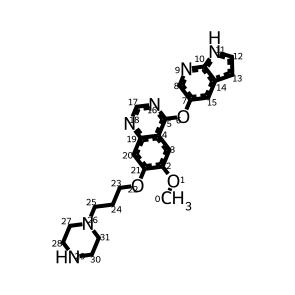 COc1cc2c(Oc3cnc4[nH]ccc4c3)ncnc2cc1OCCCN1CCNCC1